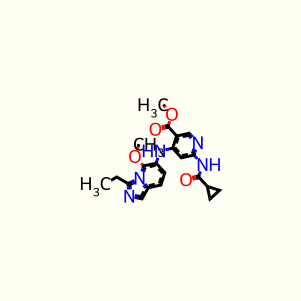 CCc1ncc2ccc(Nc3cc(NC(=O)C4CC4)ncc3C(=O)OC)c(OC)n12